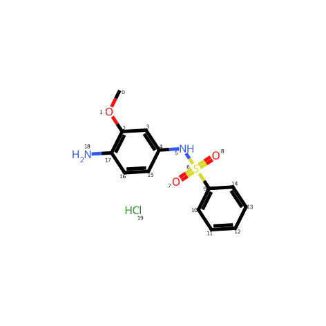 COc1cc(NS(=O)(=O)c2ccccc2)ccc1N.Cl